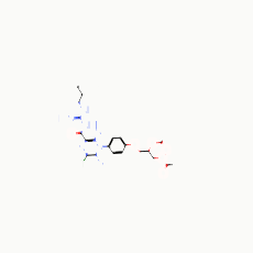 CCCCNC(=N)NC(=O)C1=C(N)N(c2ccc(OCC(COC(C)=O)OC(C)=O)cc2)C(N)C(Cl)=N1